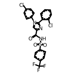 O=C(NS(=O)(=O)c1ccc(C(F)(F)F)cc1)c1cn(-c2ccc(Cl)cc2)c(-c2ccccc2Cl)n1